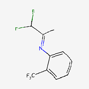 C/C(=N\c1ccccc1C(F)(F)F)C(F)F